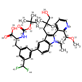 CCn1c(-c2cccnc2[C@H](C)OC)c(CC(C)(C)CO)c2cc(-c3cc(C[C@H](NC(=O)OC(C)(C)C)C(=O)O)cc(C(F)F)c3)ccc21